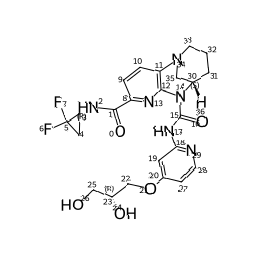 O=C(N[C@@H]1CC1(F)F)c1ccc2c(n1)N(C(=O)Nc1cc(OC[C@H](O)CO)ccn1)[C@H]1CCCN2C1